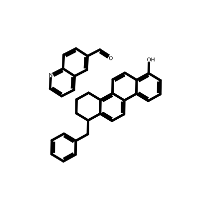 O=Cc1ccc2ncccc2c1.Oc1cccc2c1ccc1c3c(ccc12)C(Cc1ccccc1)CCC3